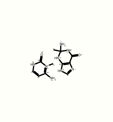 CC1(N)NC(=O)c2nc[nH]c2N1.C[n+]1c(N)cc[nH]c1=O